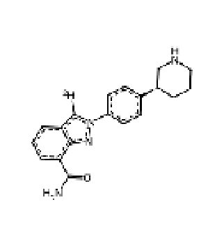 [2H]c1c2cccc(C(N)=O)c2nn1-c1ccc([C@@H]2CCCNC2)cc1